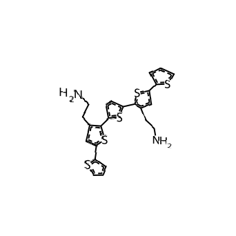 NCCc1cc(-c2cccs2)sc1-c1ccc(-c2sc(-c3cccs3)cc2CCN)s1